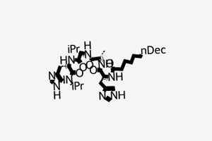 CCCCCCCCCCCCCCCC(=O)N[C@@H](Cc1c[nH]cn1)C(=O)N[C@@H](C)C(=O)N[C@H](C(=O)N[C@@H](Cc1c[nH]cn1)C(=O)NC(C)C)C(C)C